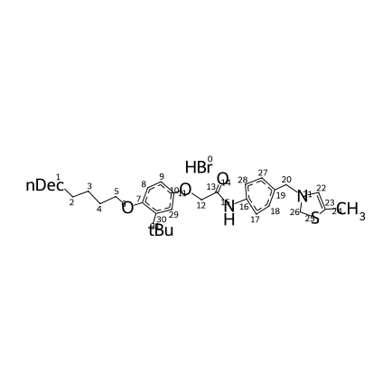 Br.CCCCCCCCCCCCCCOc1ccc(OCC(=O)Nc2ccc(CN3C=C(C)SC3)cc2)cc1C(C)(C)C